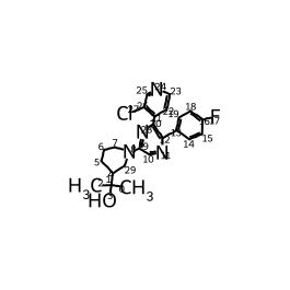 CC(C)(O)C1CCCN(c2cnc(-c3ccc(F)cc3)c(-c3ccncc3Cl)n2)C1